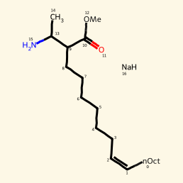 CCCCCCCC/C=C\CCCCCCC(C(=O)OC)C(C)N.[NaH]